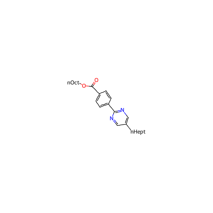 CCCCCCCCOC(=O)c1ccc(-c2ncc(CCCCCCC)cn2)cc1